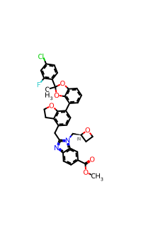 COC(=O)c1ccc2nc(Cc3ccc(-c4cccc5c4OC(C)(c4ccc(Cl)cc4F)O5)c4c3CCO4)n(C[C@@H]3CCO3)c2c1